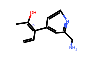 C=C/C(=C(\C)O)c1ccnc(CN)c1